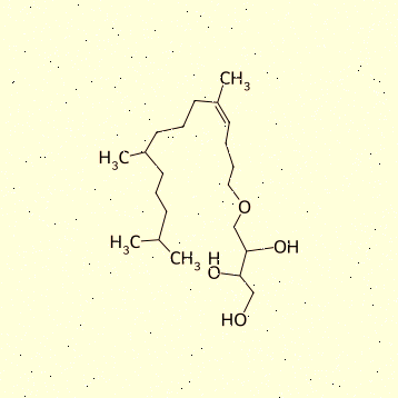 CC(=CCCCOCC(O)C(O)CO)CCCC(C)CCCC(C)C